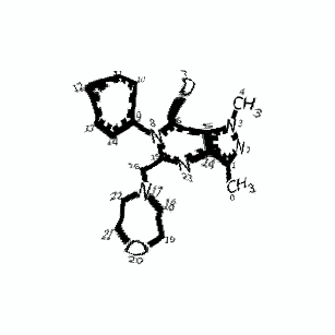 Cc1nn(C)c2c(=O)n(-c3ccccc3)c(CN3CCOCC3)nc12